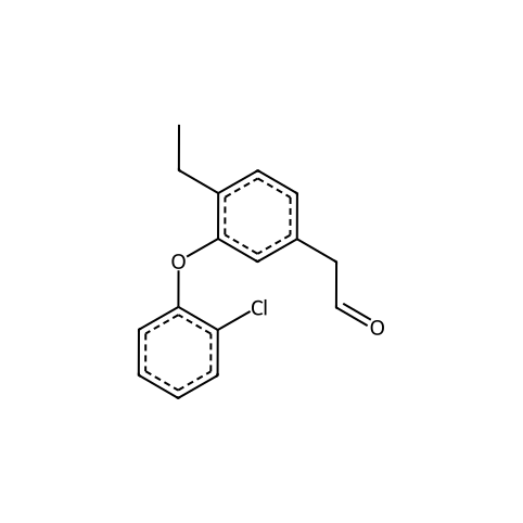 CCc1ccc(CC=O)cc1Oc1ccccc1Cl